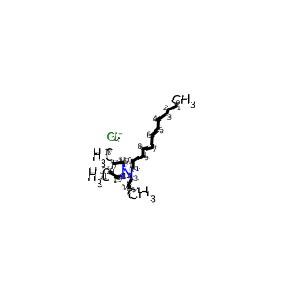 CCCCCCCCCCCC[N+](CCC)(CCC)CCC.[Cl-]